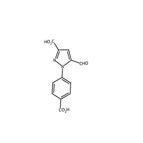 O=Cc1cc(C(=O)O)nn1-c1ccc(C(=O)O)cc1